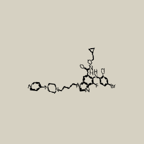 O=C(NOCC1CC1)c1cc2c(ncn2CCCCN2CCN(c3ccncc3)CC2)c(F)c1Nc1ccc(Br)cc1Cl